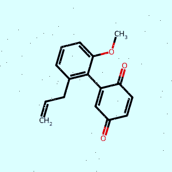 C=CCc1cccc(OC)c1C1=CC(=O)C=CC1=O